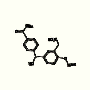 CCCCCCCCCCOc1ccc(C(O)c2ccc(C(=O)OC)cc2)cc1CC(=O)O